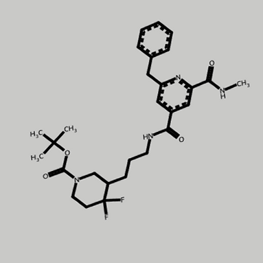 CNC(=O)c1cc(C(=O)NCCCC2CN(C(=O)OC(C)(C)C)CCC2(F)F)cc(Cc2ccccc2)n1